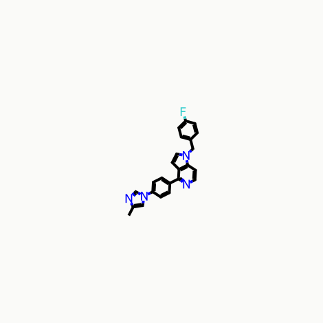 Cc1cn(-c2ccc(-c3nccc4c3ccn4Cc3ccc(F)cc3)cc2)cn1